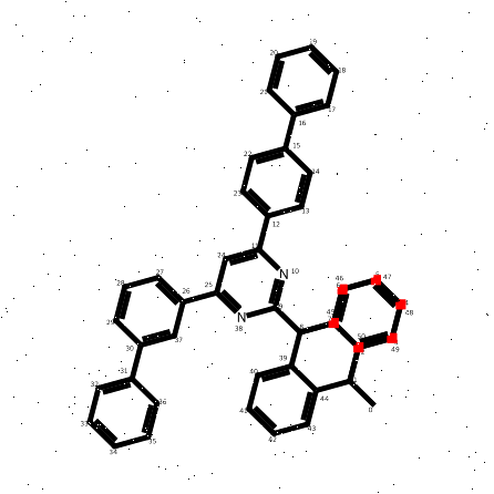 CC12c3ccccc3C(c3nc(-c4ccc(-c5ccccc5)cc4)cc(-c4cccc(-c5ccccc5)c4)n3)(c3ccccc31)c1ccccc12